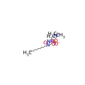 CCCCCCCCCCCN(CCOP(=O)([O-])OCC[N+](C)(C)C)C(N)=O